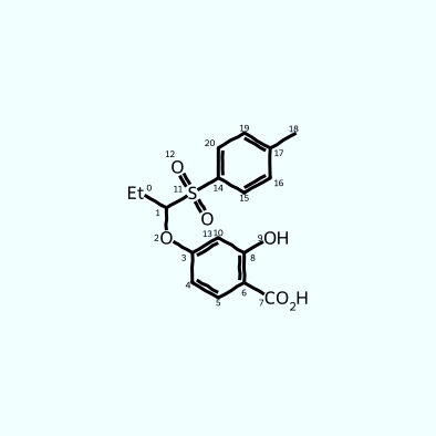 CCC(Oc1ccc(C(=O)O)c(O)c1)S(=O)(=O)c1ccc(C)cc1